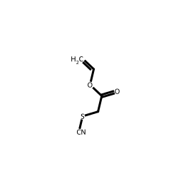 C=COC(=O)CSC#N